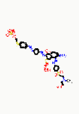 CN(CCO)CCS(=O)(=O)c1ccc(N=Nc2c(N)ccc3c(O)c(N=Nc4ccc(N=Nc5ccc(SC#COOS(=O)(=O)O)cc5)cc4)c(SOOO)cc23)cc1